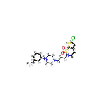 O=S1(=O)c2sc(Cl)cc2C=CN1CCCN1CCN(c2cccc(C(F)(F)F)c2)CC1